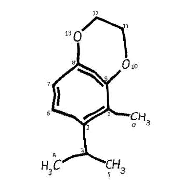 Cc1c(C(C)C)ccc2c1OCCO2